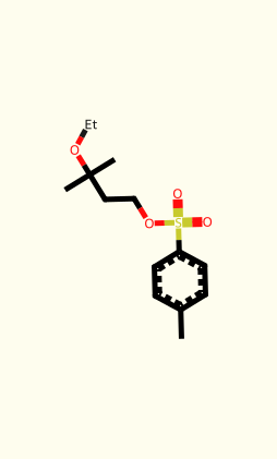 CCOC(C)(C)CCOS(=O)(=O)c1ccc(C)cc1